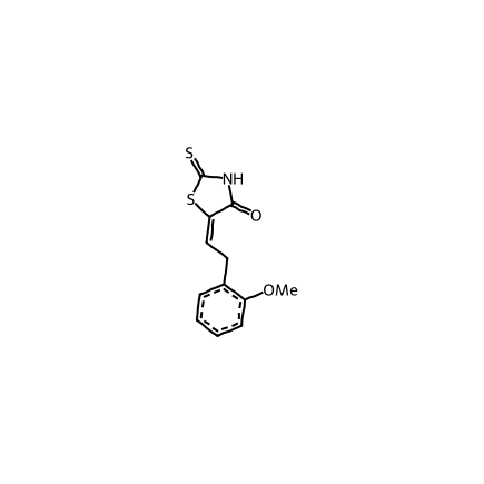 COc1ccccc1CC=C1SC(=S)NC1=O